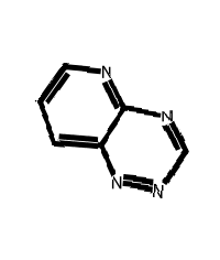 [c]1cnc2ncnnc2c1